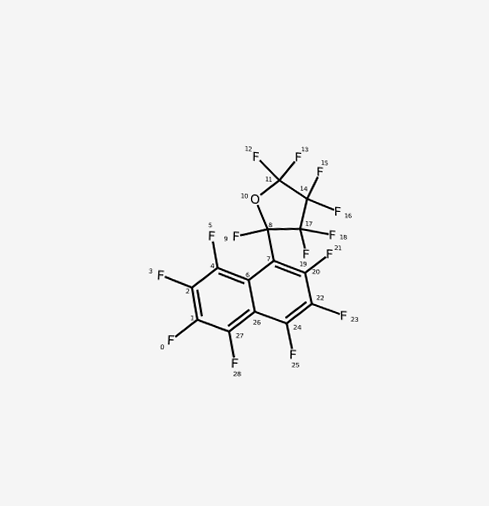 Fc1c(F)c(F)c2c(C3(F)OC(F)(F)C(F)(F)C3(F)F)c(F)c(F)c(F)c2c1F